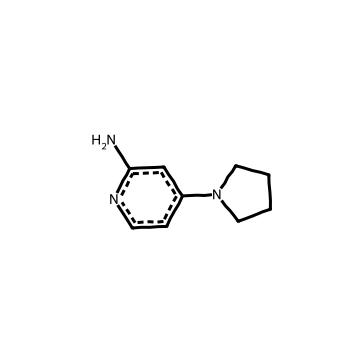 Nc1cc(N2CCCC2)ccn1